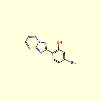 Nc1ccc(-c2cn3cccnc3n2)c(O)c1